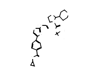 CC(C)(C)OC(=O)N1C(C2CCOCC2)SC[C@H]1C(=O)Nc1nc(-c2ccc(C(=O)NC3CC3)cc2)cs1